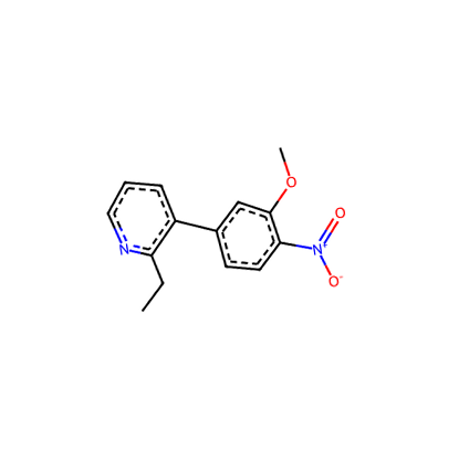 CCc1ncccc1-c1ccc([N+](=O)[O-])c(OC)c1